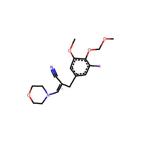 COCOc1c(I)cc(C/C(C#N)=C/N2CCOCC2)cc1OC